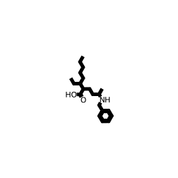 CCCCCC(CC)C(CCC(C)NCc1ccccc1)C(=O)O